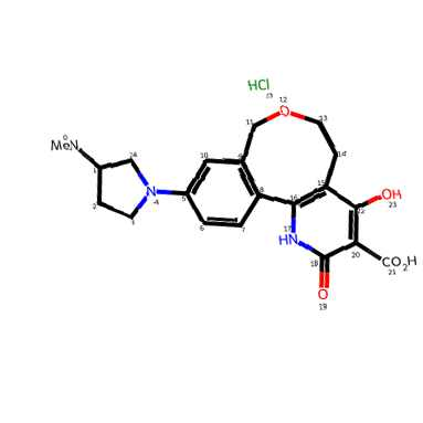 CNC1CCN(c2ccc3c(c2)COCCc2c-3[nH]c(=O)c(C(=O)O)c2O)C1.Cl